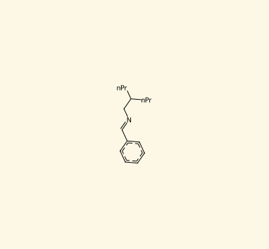 C[CH]CC(CCC)CN=Cc1ccccc1